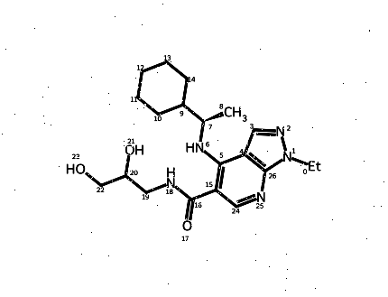 CCn1ncc2c(N[C@H](C)C3CCCCC3)c(C(=O)NCC(O)CO)cnc21